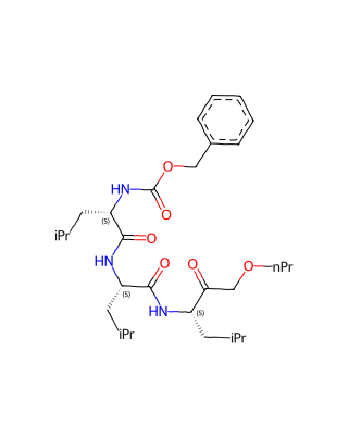 CCCOCC(=O)[C@H](CC(C)C)NC(=O)[C@H](CC(C)C)NC(=O)[C@H](CC(C)C)NC(=O)OCc1ccccc1